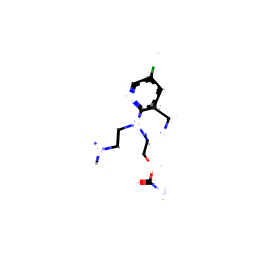 CN(C)CCN(CCOC(N)=O)c1ncc(F)cc1CN